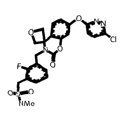 CNS(=O)(=O)Cc1cccc(CN2C(=O)Oc3cc(Oc4ccc(Cl)nn4)ccc3C23COC3)c1F